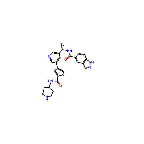 CCC(NC(=O)c1ccc2[nH]ncc2c1)c1cncc(-c2csc(C(=O)NC3CCNCC3)c2)c1